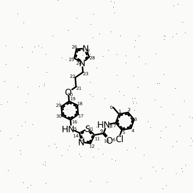 Cc1cccc(Cl)c1NC(=O)c1cnc(Nc2ccc(OCCCn3ccnc3)cc2)s1